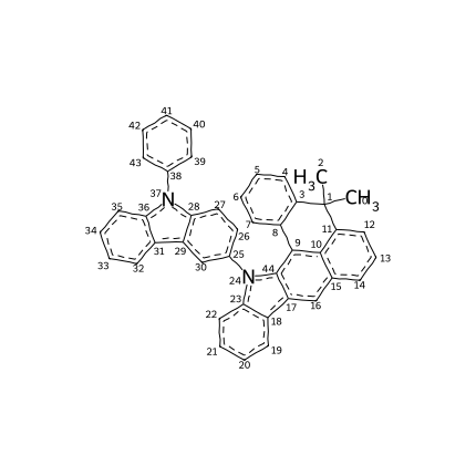 CC1(C)c2ccccc2-c2c3c1cccc3cc1c3ccccc3n(-c3ccc4c(c3)c3ccccc3n4-c3ccccc3)c21